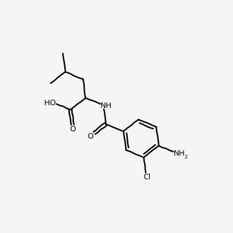 CC(C)CC(NC(=O)c1ccc(N)c(Cl)c1)C(=O)O